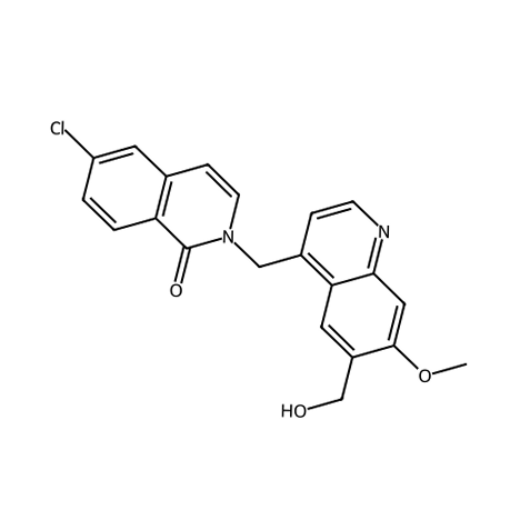 COc1cc2nccc(Cn3ccc4cc(Cl)ccc4c3=O)c2cc1CO